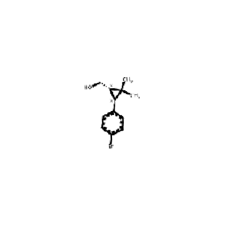 CC1(C)[C@@H](CO)[C@@H]1c1ccc(Br)cc1